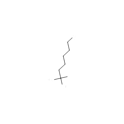 CC(C)(C)CCCCCS